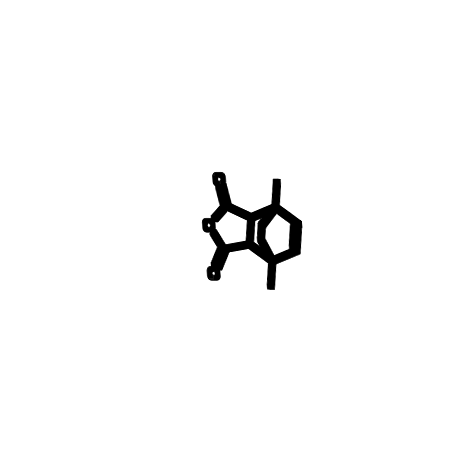 CC12C=CC(C)(CC1)C1C(=O)OC(=O)C12